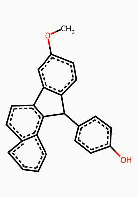 COc1ccc2c(c1)-c1ccc3ccccc3c1C2c1ccc(O)cc1